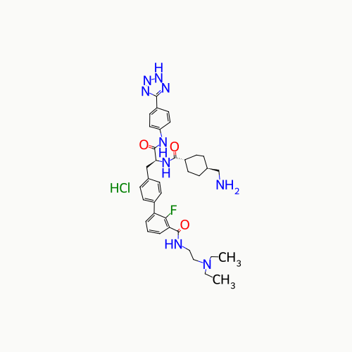 CCN(CC)CCNC(=O)c1cccc(-c2ccc(C[C@H](NC(=O)[C@H]3CC[C@H](CN)CC3)C(=O)Nc3ccc(-c4nn[nH]n4)cc3)cc2)c1F.Cl